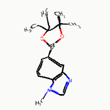 Cn1cnc2cc(B3OC(C)(C)C(C)(C)O3)ccc21